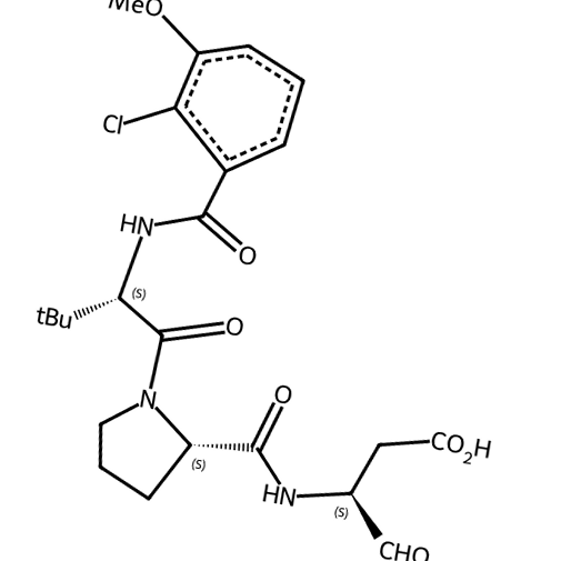 COc1cccc(C(=O)N[C@H](C(=O)N2CCC[C@H]2C(=O)N[C@H](C=O)CC(=O)O)C(C)(C)C)c1Cl